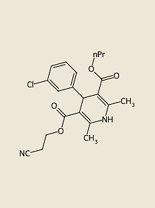 CCCOC(=O)C1=C(C)NC(C)=C(C(=O)OCCC#N)C1c1cccc(Cl)c1